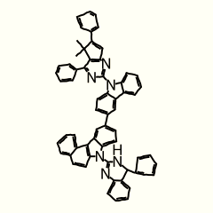 CC1(C)C(c2ccccc2)=Cc2nc(-n3c4ccccc4c4cc(-c5ccc6c(c5)c5c7ccccc7ccc5n6C5=Nc6ccccc6C(c6ccccc6)N5)ccc43)nc(-c3ccccc3)c21